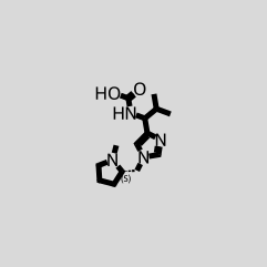 CC(C)C(NC(=O)O)c1cn(C[C@@H]2CCCN2C)cn1